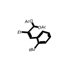 CCC(=Cc1ccccc1C(C)(C)C)C(OC(C)=O)OC(C)=O